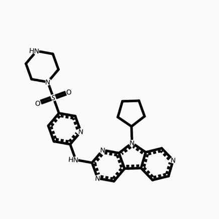 O=S(=O)(c1ccc(Nc2ncc3c4ccncc4n(C4CCCC4)c3n2)nc1)N1CCNCC1